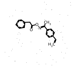 C=Cc1ccc(C(C)=NOC(=O)Cc2ccccc2)cc1